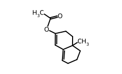 CC(=O)OC1=CC2=CCCCC2(C)CC1